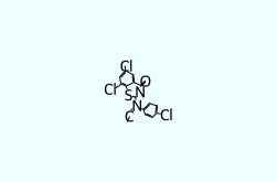 CCCN(c1ccc(Cl)cc1)c1nc(=O)c2cc(Cl)cc(Cl)c2s1